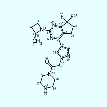 C[C@H]1CCN1c1nc(-c2cnn(CC(=O)N3CCNCC3)c2)c2c(n1)C(F)(F)CC2